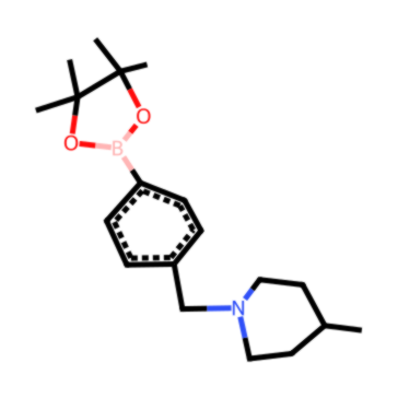 CC1CCN(Cc2ccc(B3OC(C)(C)C(C)(C)O3)cc2)CC1